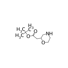 CC(C)(C)OC(=O)CC1CNCCO1